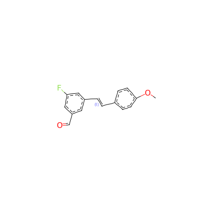 COc1ccc(/C=C/c2cc(F)cc(C=O)c2)cc1